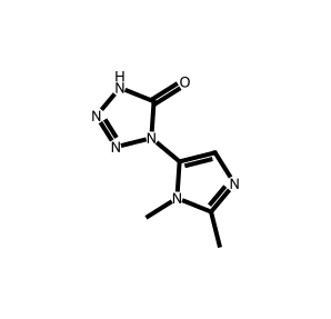 Cc1ncc(-n2nn[nH]c2=O)n1C